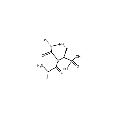 CC(C)[C@H](N)C(=O)N(C(=O)[C@H](C)N)[C@@H](C)P(=O)(O)O